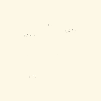 COC(=O)c1ccc(N=O)cc1OC